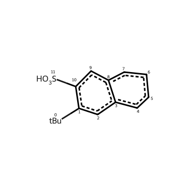 CC(C)(C)c1cc2ccccc2cc1S(=O)(=O)O